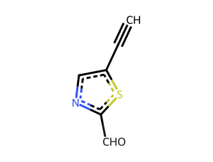 C#Cc1cnc(C=O)s1